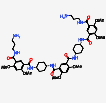 COc1cc(OC)c(C(=O)N[C@H]2CC[C@@H](NC(=O)c3cc(C(=O)N[C@H]4CC[C@@H](NC(=O)c5cc(C(=O)NCCCN)c(OC)cc5OC)CC4)c(OC)cc3OC)CC2)cc1C(=O)NCCCN